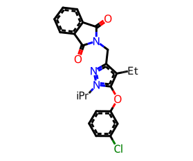 CCc1c(CN2C(=O)c3ccccc3C2=O)nn(C(C)C)c1Oc1cccc(Cl)c1